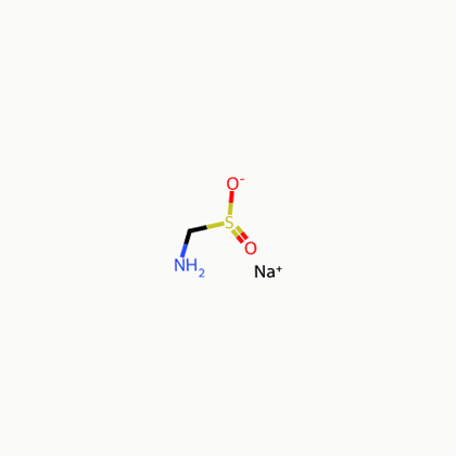 NCS(=O)[O-].[Na+]